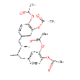 CC(Cc1ccc(OC(=O)C(C)(C)C)c(OC(=O)C(C)(C)C)c1)C(C)Cc1ccc(OC(=O)C(C)(C)C)c(OC(=O)C(C)(C)C)c1